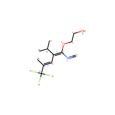 C=N/C(OCCO)=C(\C=C(/C)C(F)(F)F)C(C)C